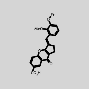 CCOc1cccc(C=C2CCc3c2oc2ccc(C(=O)O)cc2c3=O)c1OC